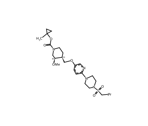 CO[C@H]1CN(C(=O)OC2(C)CC2)CC[C@H]1COc1ccc(N2CCN(S(=O)(=O)CC(C)C)CC2)nc1